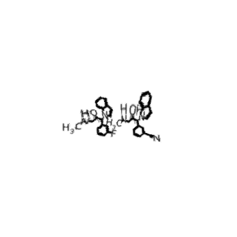 CNC[C@@H](O)[C@H](c1cccc(C#N)c1)n1ccc2ccccc21.CNC[C@@H](O)[C@H](c1cccc(F)c1)n1ccc2ccccc21